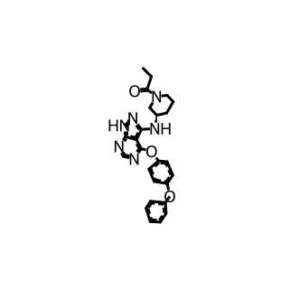 CCC(=O)N1CCC[C@@H](Nc2n[nH]c3ncnc(Oc4ccc(Oc5ccccc5)cc4)c23)C1